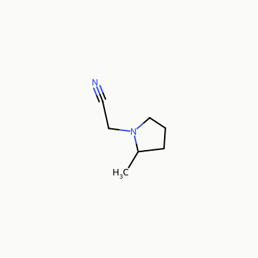 CC1CCCN1CC#N